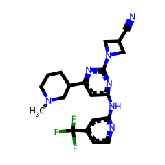 CN1CCCC(c2cc(Nc3cc(C(F)(F)F)ccn3)nc(N3CC(C#N)C3)n2)C1